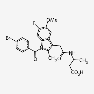 COc1cc2c(CC(=O)NC(C)CC(=O)O)c(C)n(C(=O)c3ccc(Br)cc3)c2cc1F